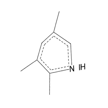 Cc1cnc(C)c(C)c1.I